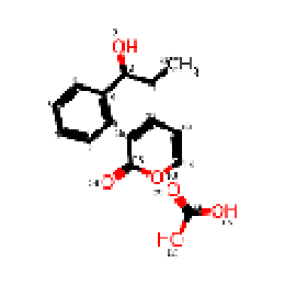 CCC(O)c1ccccc1.O=C(O)O.O=c1cccco1